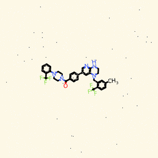 Cc1ccc(C(F)(F)F)c(CN2CCNc3ncc(-c4ccc(C(=O)N5CCN(c6ccccc6C(F)(F)F)CC5)cc4)cc32)c1